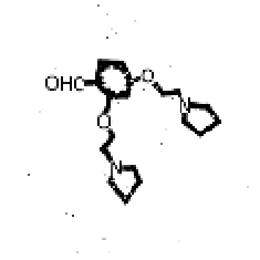 O=Cc1ccc(OCCN2CCCC2)cc1OCCN1CCCC1